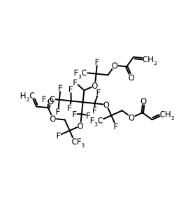 C=CC(=O)OCC(F)(OC(F)C(C(F)(F)OC(F)(COC(=O)C=C)C(F)(F)F)(C(F)(F)OC(F)(COC(=O)C=C)C(F)(F)F)C(F)(F)C(F)(F)C(F)(F)F)C(F)(F)F